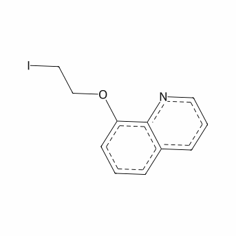 ICCOc1cccc2cccnc12